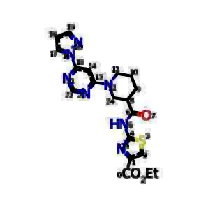 CCOC(=O)c1csc(NC(=O)C2CCCN(c3cc(-n4cccn4)ncn3)C2)n1